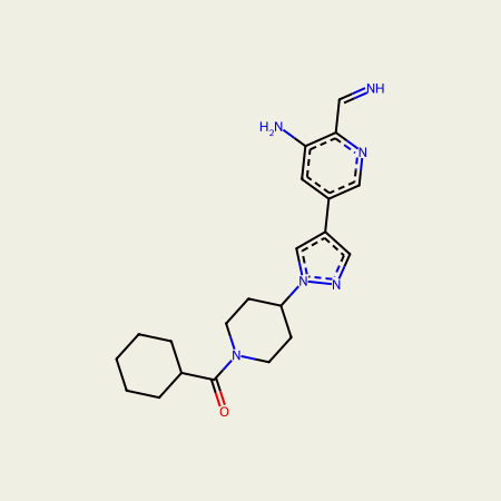 N=Cc1ncc(-c2cnn(C3CCN(C(=O)C4CCCCC4)CC3)c2)cc1N